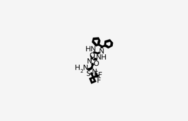 Nc1sc(C2(C(F)(F)F)CCC2)nc1-c1nnc(N[C@H]2N=C(c3ccccc3)c3ccccc3NC2=O)o1